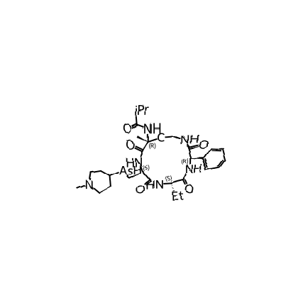 CC[C@@H]1NC(=O)[C@@H](C[AsH]C2CCN(C)CC2)NC(=O)[C@](C)(NC(=O)C(C)C)CCNC(=O)[C@@H](c2ccccc2)NC1=O